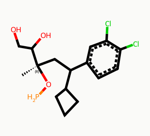 C[C@](CC(c1ccc(Cl)c(Cl)c1)C1CCC1)(OP)C(O)CO